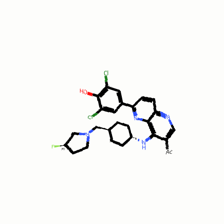 CC(=O)c1cnc2ccc(-c3cc(Cl)c(O)c(Cl)c3)nc2c1N[C@H]1CC[C@H](CN2CC[C@@H](F)C2)CC1